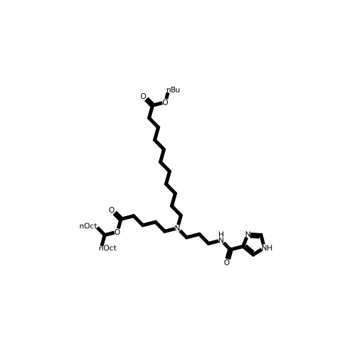 CCCCCCCCC(CCCCCCCC)OC(=O)CCCCN(CCCCCCCCCCC(=O)OCCCC)CCCNC(=O)c1c[nH]cn1